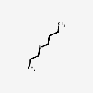 CCC[B]CCCC